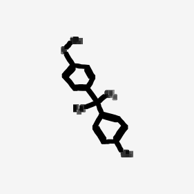 CC(C)(C)Sc1ccc(C(c2ccc(C(C)(C)C)cc2)(C(F)(F)F)C(F)(F)F)cc1